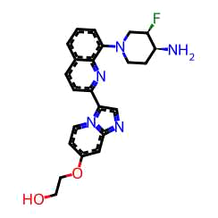 N[C@H]1CCN(c2cccc3ccc(-c4cnc5cc(OCCO)ccn45)nc23)C[C@H]1F